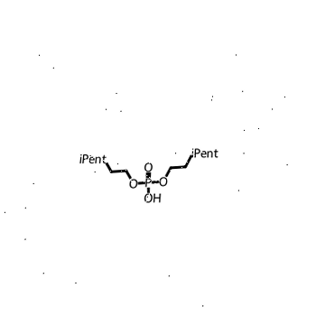 CCCC(C)CCOP(=O)(O)OCCC(C)CCC